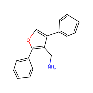 NCc1c(-c2ccccc2)coc1-c1ccccc1